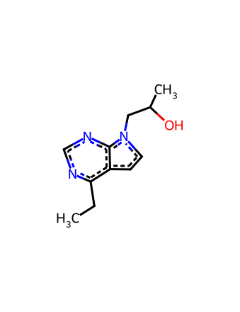 CCc1ncnc2c1ccn2CC(C)O